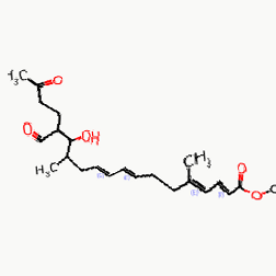 COC(=O)/C=C/C=C(\C)CC/C=C/C=C/CC(C)C(O)C(C=O)CCC(C)=O